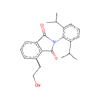 CC(C)c1cccc(C(C)C)c1N1C(=O)c2cccc(CCO)c2C1=O